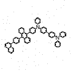 c1ccc(N(c2ccccc2)c2ccc(-c3ccc(N(c4ccccc4)c4ccc(-c5c6ccccc6c(-c6ccc(-c7cccc8ccccc78)cc6)c6ccccc56)cc4)cc3)cc2)cc1